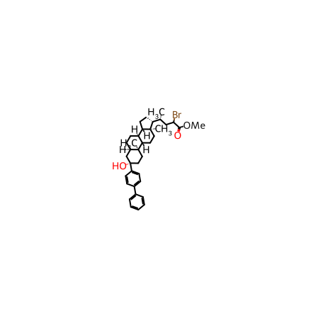 COC(=O)C(Br)C[C@@H](C)[C@H]1CC[C@H]2[C@@H]3CC[C@@H]4C[C@](O)(c5ccc(-c6ccccc6)cc5)CC[C@]4(C)[C@H]3CC[C@]12C